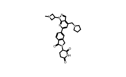 CN1CC(n2ncc3c(CN4CCCC4)cc(-c4ccc5c(c4)CN(C4CCC(=O)NC4=O)C5=O)nc32)C1